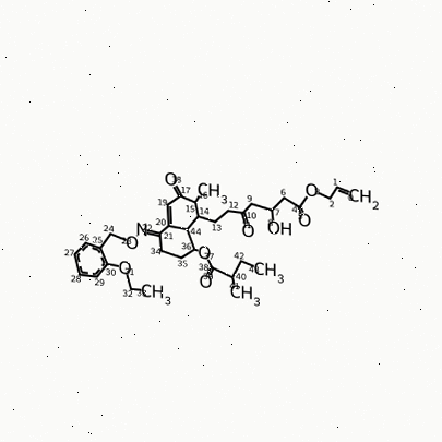 C=CCOC(=O)CC(O)CC(=O)CCC1C(C)C(=O)C=C2C(=NOCc3ccccc3OCC)CCC(OC(=O)C(C)CC)C21